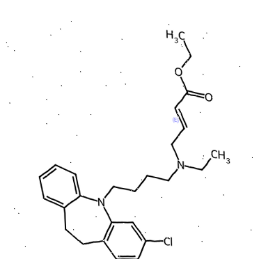 CCOC(=O)/C=C/CN(CC)CCCCN1c2ccccc2CCc2ccc(Cl)cc21